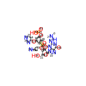 CN(C)C=Nc1nc2c(ncn2[C@@H]2O[C@H](CO)C[C@H]2O[P@](=S)(OCCC#N)OC[C@H]2C[C@@H](Oc3ccncn3)C[C@@H]2O[PH](=O)O)c(=O)[nH]1